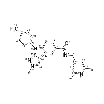 Cc1cc(CNC(=O)c2ccc3c(c2)c2cn(C)nc2n3-c2ccc(C(F)(F)F)cc2)cc(C)n1